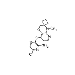 CN1c2nccc(Sc3ncc(Cl)nc3N)c2OCC12CCC2